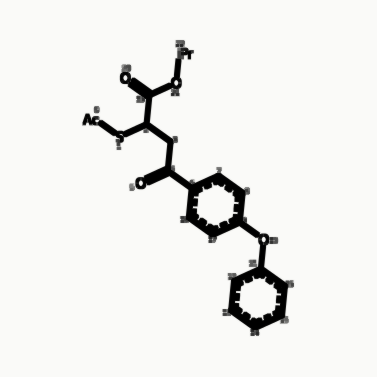 CC(=O)SC(CC(=O)c1ccc(Oc2ccccc2)cc1)C(=O)OC(C)C